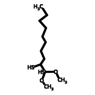 CCCCCCCCC(S)[SiH](OC)OC